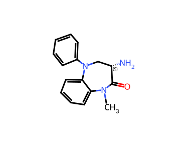 CN1C(=O)[C@@H](N)CN(c2ccccc2)c2ccccc21